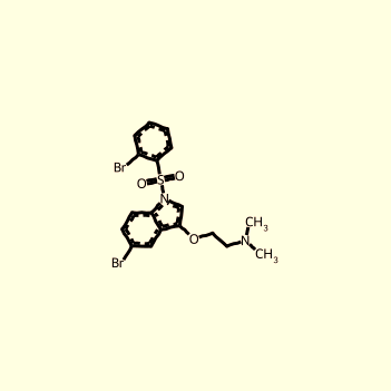 CN(C)CCOc1cn(S(=O)(=O)c2ccccc2Br)c2ccc(Br)cc12